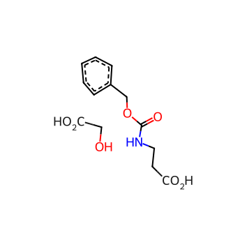 O=C(O)CCNC(=O)OCc1ccccc1.O=C(O)CO